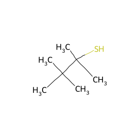 CC(C)(C)C(C)(C)S